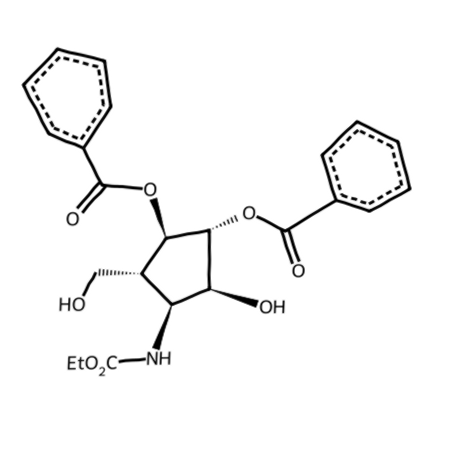 CCOC(=O)N[C@@H]1[C@H](O)[C@@H](OC(=O)c2ccccc2)[C@H](OC(=O)c2ccccc2)[C@H]1CO